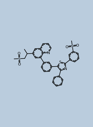 CC(CS(C)(=O)=O)c1cc(-c2cccc(-c3sc(-c4cccc(S(C)(=O)=O)c4)nc3-c3ccccc3)c2)c2ncccc2c1